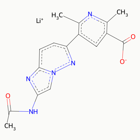 CC(=O)Nc1cn2nc(-c3cc(C(=O)[O-])c(C)nc3C)ccc2n1.[Li+]